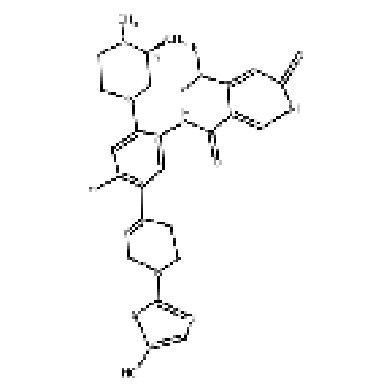 C[C@H]1CN(c2cc(F)c(C3=CCN(c4ncc(C#N)s4)CC3)cc2NC(=O)c2c[nH]c(=O)cc2C(F)F)CCN1C